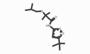 CC(C)CSC(C)(C)C(=O)Nc1cc(C(C)(C)C)on1